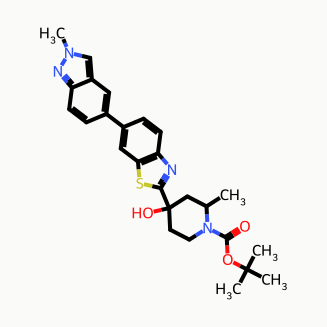 CC1CC(O)(c2nc3ccc(-c4ccc5nn(C)cc5c4)cc3s2)CCN1C(=O)OC(C)(C)C